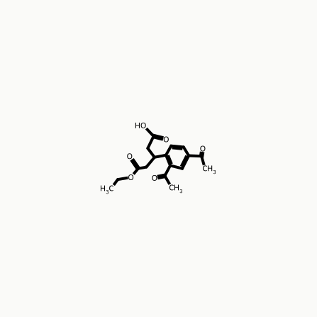 CCOC(=O)CC(CC(=O)O)c1ccc(C(C)=O)cc1C(C)=O